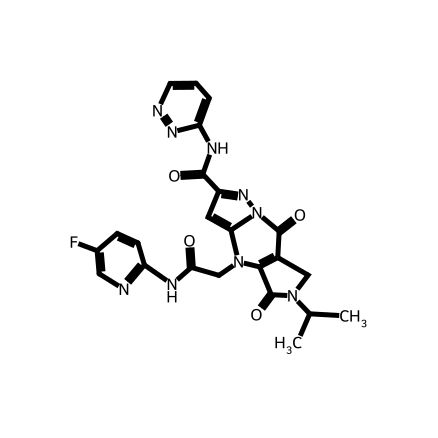 CC(C)N1Cc2c(n(CC(=O)Nc3ccc(F)cn3)c3cc(C(=O)Nc4cccnn4)nn3c2=O)C1=O